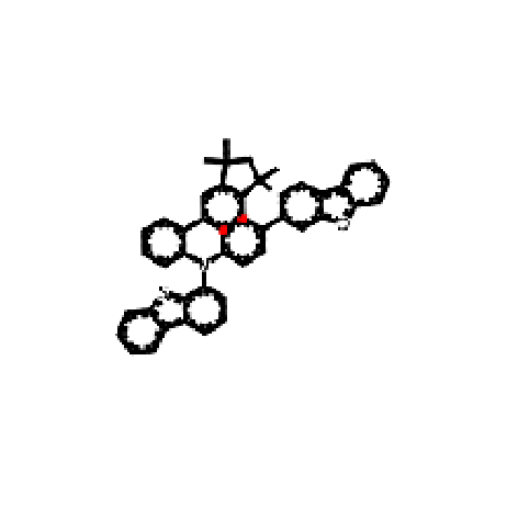 CC1(C)CC(C)(C)c2cc(-c3ccccc3N(c3ccc(-c4ccc5c(c4)oc4ccccc45)cc3)c3cccc4c3sc3ccccc34)ccc21